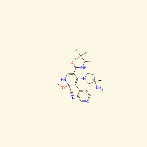 COC1(C#N)NC=C(C(=O)NC(C)C(F)(F)F)C(N2CC[C@](C)(N)C2)=C1c1ccncc1